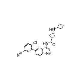 N#Cc1ccc(Cl)c(-c2ccc3[nH]nc(NC(=O)C4CC(NC5CCC5)C4)c3c2)c1